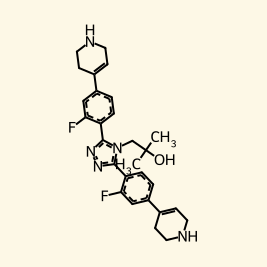 CC(C)(O)Cn1c(-c2ccc(C3=CCNCC3)cc2F)nnc1-c1ccc(C2=CCNCC2)cc1F